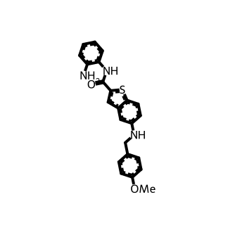 COc1ccc(CNc2ccc3sc(C(=O)Nc4ccccc4N)cc3c2)cc1